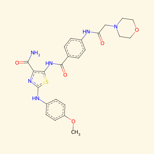 COc1ccc(Nc2nc(C(N)=O)c(NC(=O)c3ccc(NC(=O)CN4CCOCC4)cc3)s2)cc1